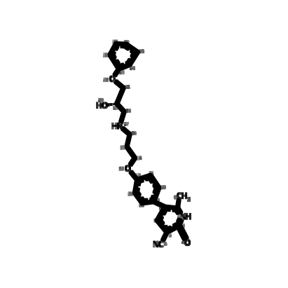 Cc1[nH]c(=O)c(C#N)cc1-c1ccc(OCCCNC[C@H](O)COc2ccccc2)cc1